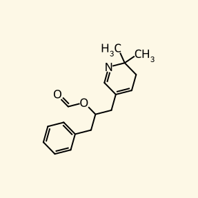 CC1(C)CC=C(CC(Cc2ccccc2)OC=O)C=N1